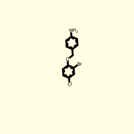 Nc1ccc(COc2ccc(Cl)cc2Br)cc1